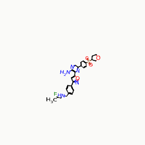 CC(F)CNCc1ccc(-c2cc(-c3nc(-c4ccc(S(=O)(=O)C5CCOC5)cc4)cnc3N)on2)cc1